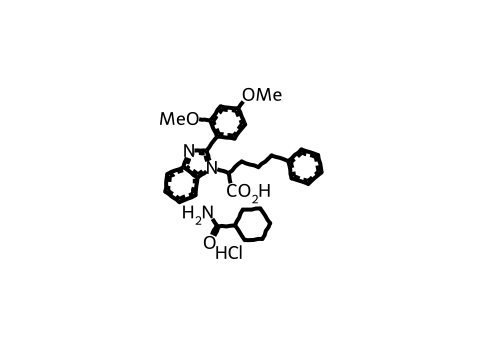 COc1ccc(-c2nc3ccccc3n2C(CCCc2ccccc2)C(=O)O)c(OC)c1.Cl.NC(=O)C1CCCCC1